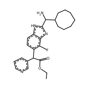 CCOC(=O)C(c1cccnc1)c1ccc2[nH]c(C(N)C3CCCCCCC3)nc2c1F